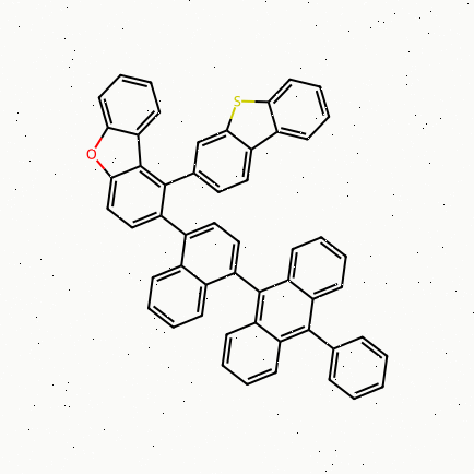 c1ccc(-c2c3ccccc3c(-c3ccc(-c4ccc5oc6ccccc6c5c4-c4ccc5c(c4)sc4ccccc45)c4ccccc34)c3ccccc23)cc1